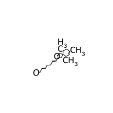 CC1=CC(C)C(C=O)(CCC=CCCC=CC=O)C(C)C1